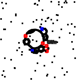 COc1cc2c3cc1Oc1c4c(cc5c1[C@H](Cc1ccc(cc1)Oc1ccc(cc1)CC3N(C)CC2)N(C)CC5)OCO4